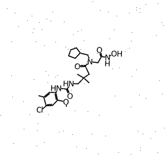 COc1cc(Cl)c(C)cc1NC(=O)NCC(C)(C)CC(=O)N(CC(=O)NO)CC1CCCC1